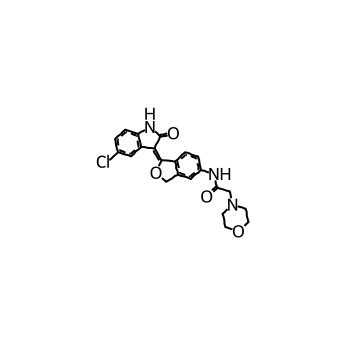 O=C(CN1CCOCC1)Nc1ccc2c(c1)CO/C2=C1/C(=O)Nc2ccc(Cl)cc21